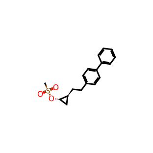 CS(=O)(=O)O[C@H]1C[C@@H]1CCc1ccc(-c2ccccc2)cc1